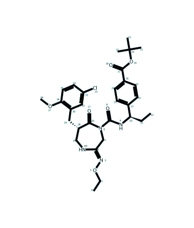 CCO/N=C1/CN(C(=O)N[C@H](CC)c2ccc(C(=O)OC(C)(C)C)cc2)C(=O)[C@@H](Cc2cc(Cl)ccc2OC)CN1